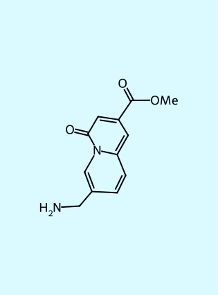 COC(=O)c1cc(=O)n2cc(CN)ccc2c1